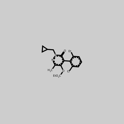 CCOC(=O)Oc1c(C)nn(CC2CC2)c(=O)c1-c1c(Cl)cccc1CC